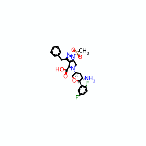 CS(=O)(=O)n1nc(Cc2ccccc2)c2c1CN([C@H]1CO[C@H](c3cc(F)ccc3F)[C@@H](N)C1)C2C(=O)O